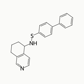 c1ccc(-c2ccc(SNC3CCCc4cnccc43)cc2)cc1